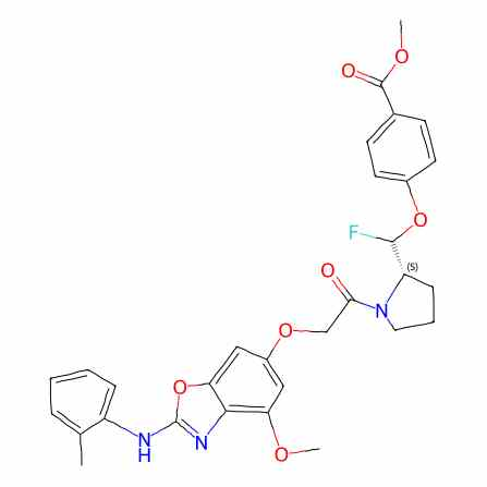 COC(=O)c1ccc(OC(F)[C@@H]2CCCN2C(=O)COc2cc(OC)c3nc(Nc4ccccc4C)oc3c2)cc1